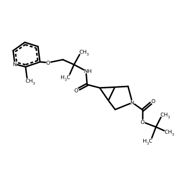 Cc1ncccc1OCC(C)(C)NC(=O)C1C2CN(C(=O)OC(C)(C)C)CC21